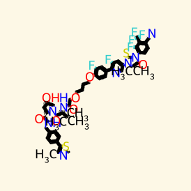 Cc1ncsc1-c1ccc(CNC(=O)[C@@H]2C[C@@H](O)CN2C(=O)[C@@H](NC(=O)COCCCCOc2ccc(-c3ncc(N4C(=S)N(c5ccc(C#N)c(C(F)(F)F)c5F)C(=O)C4(C)C)cc3F)cc2F)C(C)(C)C)cc1